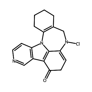 O=C1CC=C2c3c1c1cnccc1n3C1=C(CCCC1)CN2Cl